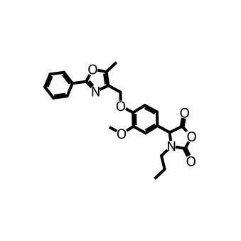 CCCN1C(=O)OC(=O)C1c1ccc(OCc2nc(-c3ccccc3)oc2C)c(OC)c1